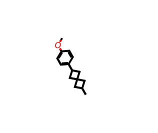 COc1ccc(C2CC3(CC(C)C3)C2)cc1